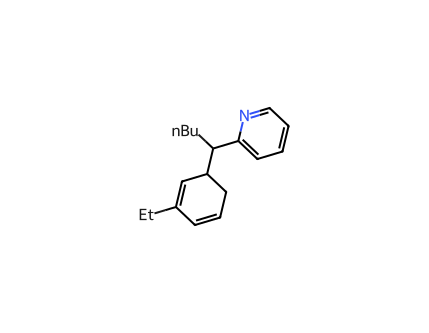 CCCCC(c1ccccn1)C1C=C(CC)C=CC1